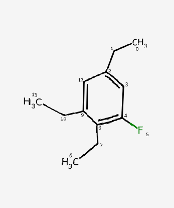 CCc1cc(F)c(CC)c(CC)c1